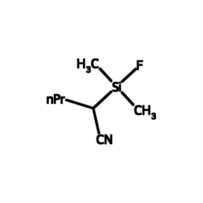 CCCC(C#N)[Si](C)(C)F